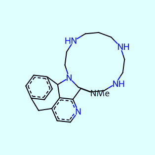 CNCc1nccc2c1C(N1CCCNCCNCCCNCC1)c1ccc(cc1)C2